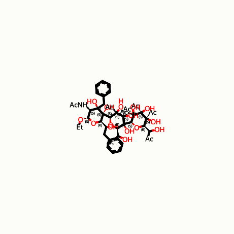 CCO[C@H]1O[C@H](C(O)Cc2ccccc2)[C@](O)([C@@H]2O[C@H](C(O)C(C)=O)[C@@](O)([C@@H]3O[C@H](C(O)C(C)=O)[C@@](O)(C(C)=O)[C@@](O)(C(C)=O)[C@]3(O)C(C)=O)[C@@](O)(C(C)=O)[C@]2(O)C(C)=O)[C@@](O)(Cc2ccccc2)[C@@H]1NC(C)=O